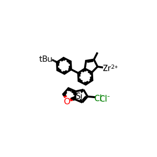 CC1=C2c3occc3C1[Si]2(C)C.CC1=Cc2c(-c3ccc(C(C)(C)C)cc3)cccc2[CH]1[Zr+2].[Cl-].[Cl-]